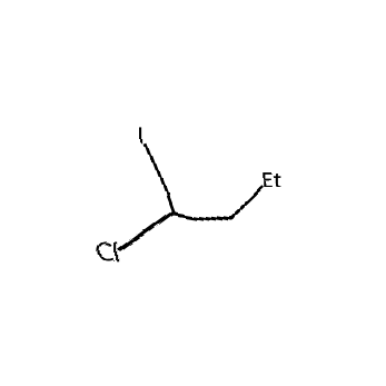 CCCC(Cl)I